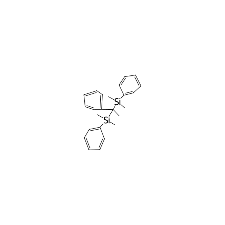 CC(c1ccccc1)([Si](C)(C)c1ccccc1)[Si](C)(C)c1ccccc1